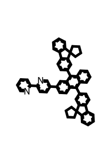 c1ccc(-c2ccc(-c3ccc4c(-c5ccc6c(c5)C5(CCCC5)c5ccccc5-6)c5ccccc5c(-c5ccc6c(c5)C5(CCCC5)c5ccccc5-6)c4c3)cn2)nc1